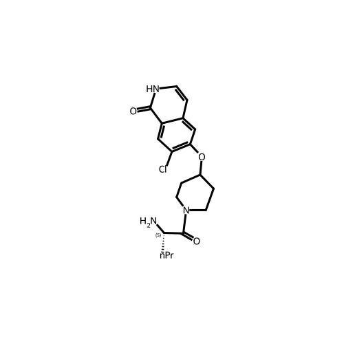 CCC[C@H](N)C(=O)N1CCC(Oc2cc3cc[nH]c(=O)c3cc2Cl)CC1